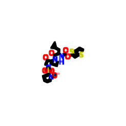 O=C(NC(CC1CC1)C(=O)N1CCC2C1C(=O)CN2S(=O)(=O)c1cccc[n+]1[O-])Oc1cc2sccc2s1